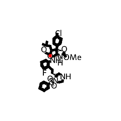 COC(=O)N[C@H](C(=O)Nc1cccc(F)c1CC[C@H]1CNCCN1S(=O)(=O)c1ccccc1)[C@@](C)(c1ccc(Cl)cc1)C1CCOC(C)(C)C1